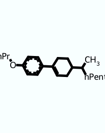 CCCCCC(C)C1CC=C(c2ccc(OCCC)cc2)CC1